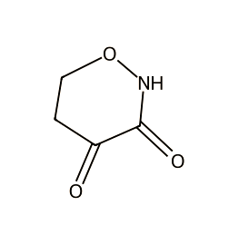 O=C1CCONC1=O